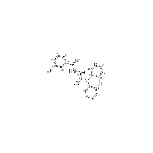 O=C(NNC(=O)C1c2ccccc2Oc2ccccc21)c1cccc(F)c1